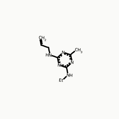 C=CCNc1nc(C)nc(NCC)n1